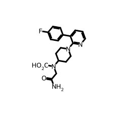 NC(=O)CN(C(=O)O)C1CCN(c2ncccc2-c2ccc(F)cc2)CC1